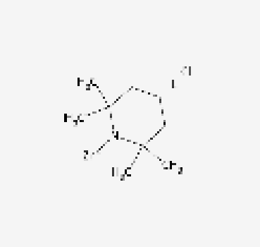 CC1(C)CCCC(C)(C)[N]1[Zn+].[Cl-].[Li]